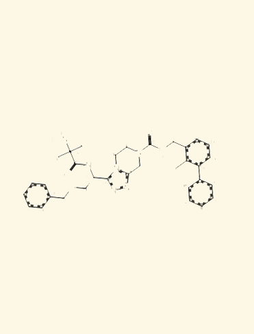 Cc1c(COC(=O)N2CCn3c(nnc3[C@@H](COCc3ccccc3)NC(=O)C(C)(C)N)C2)cccc1-c1ccccc1